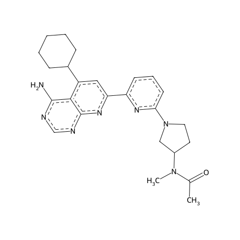 CC(=O)N(C)C1CCN(c2cccc(-c3cc(C4CCCCC4)c4c(N)ncnc4n3)n2)C1